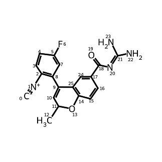 [C-]#[N+]c1ccc(F)cc1C1=CC(C)Oc2ccc(C(=O)N=C(N)N)cc21